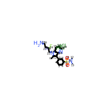 Cc1c(-c2cccc(S(=O)(=O)N(C)C)c2)c2ncccc2n1C/C(F)=C/CN.Cl.Cl